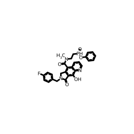 CN(CC[PH](=O)Oc1ccccc1)C(=O)c1c2c(c(O)c3ncccc13)C(=O)N(Cc1ccc(F)cc1)C2